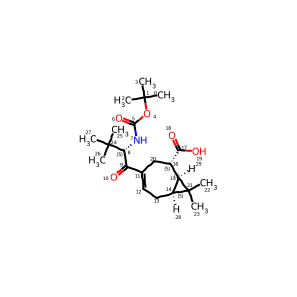 CC(C)(C)OC(=O)N[C@H](C(=O)C1=CC[C@H]2[C@@H]([C@@H](C(=O)O)C1)C2(C)C)C(C)(C)C